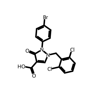 O=C(O)c1cn(Cc2c(Cl)cccc2Cl)n(-c2ccc(Br)cc2)c1=O